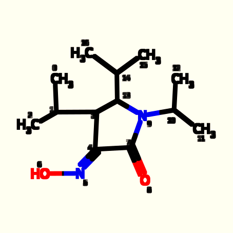 CC(C)C1/C(=N\O)C(=O)N(C(C)C)C1C(C)C